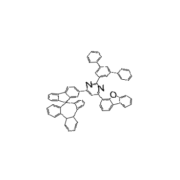 C1=CC2c3ccccc3C3(c4ccccc4-c4ccc(-c5cc(-c6cccc7c6oc6ccccc67)nc(-c6cc(-c7ccccc7)cc(-c7ccccc7)c6)n5)cc43)c3ccccc3C2C=C1